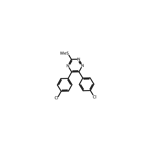 CSc1nnc(-c2ccc(Cl)cc2)c(-c2ccc(Cl)cc2)n1